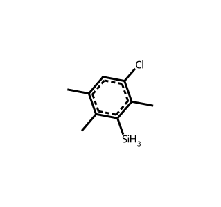 Cc1cc(Cl)c(C)c([SiH3])c1C